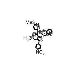 CCOC(=O)N(Cc1c(F)cccc1F)c1sc(-c2ccc([N+](=O)[O-])cc2)c(CN(C)C)c1C(=O)Nc1ccc(SC)nn1